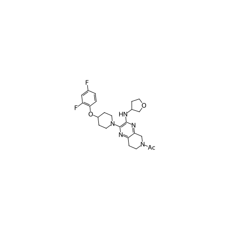 CC(=O)N1CCc2nc(N3CCC(Oc4ccc(F)cc4F)CC3)c(NC3CCOC3)nc2C1